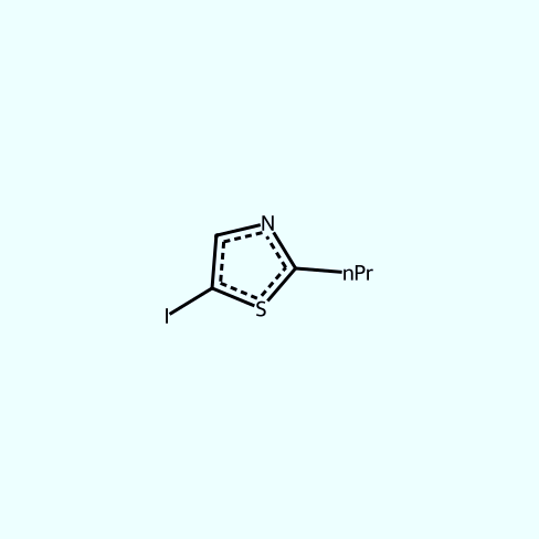 CCCc1ncc(I)s1